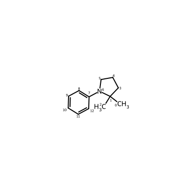 CC1(C)CCCN1c1ccccc1